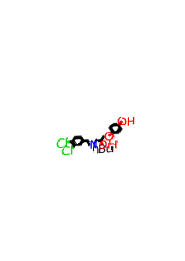 CCCCN(CCc1ccc(Cl)c(Cl)c1)CC(O)COc1ccc(O)cc1